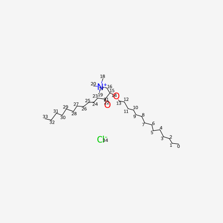 CCCCCCCCCCCCCCOC(C[N+](C)(C)C)C(=O)CCCCCCCCCCC.[Cl-]